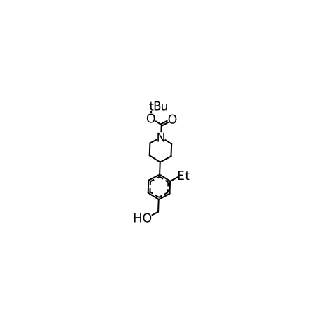 CCc1cc(CO)ccc1C1CCN(C(=O)OC(C)(C)C)CC1